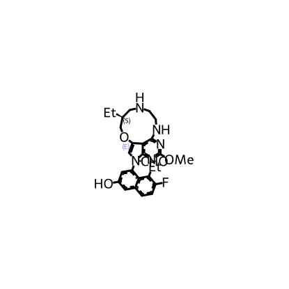 CCc1c(F)ccc2cc(O)cc(N(C=O)/C=C3/OC[C@@H](CC)CNCCNc4nc(OC)nc(C)c43)c12